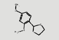 COc1ccc(C2SCCS2)c(OC)c1